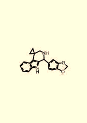 c1ccc2c3c([nH]c2c1)C(c1ccc2c(c1)OCO2)NCC31CC1